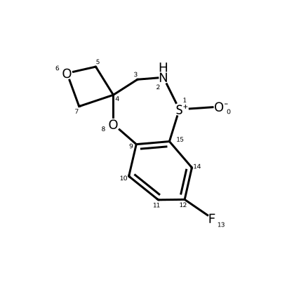 [O-][S+]1NCC2(COC2)Oc2ccc(F)cc21